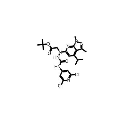 Cc1nn(C)c2nc(N(CC(=O)OC(C)(C)C)NC(=O)Nc3cc(Cl)nc(Cl)c3)cc(C(C)C)c12